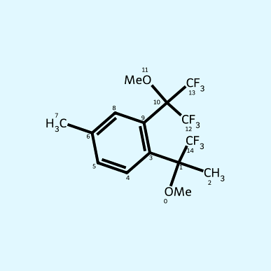 COC(C)(c1ccc(C)cc1C(OC)(C(F)(F)F)C(F)(F)F)C(F)(F)F